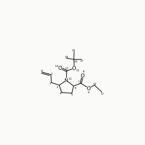 C=CCC1CCC(C(=O)OCC)N1C(=O)OC(C)(C)C